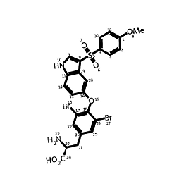 COc1ccc(S(=O)(=O)c2c[nH]c3ccc(Oc4c(Br)cc(C[C@H](N)C(=O)O)cc4Br)cc23)cc1